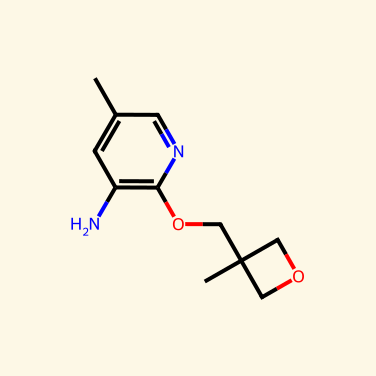 Cc1cnc(OCC2(C)COC2)c(N)c1